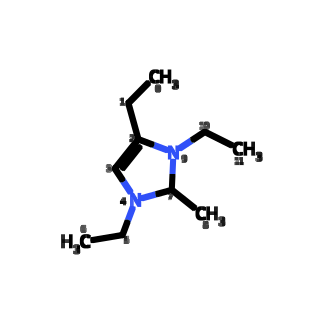 CCC1=CN(CC)C(C)N1CC